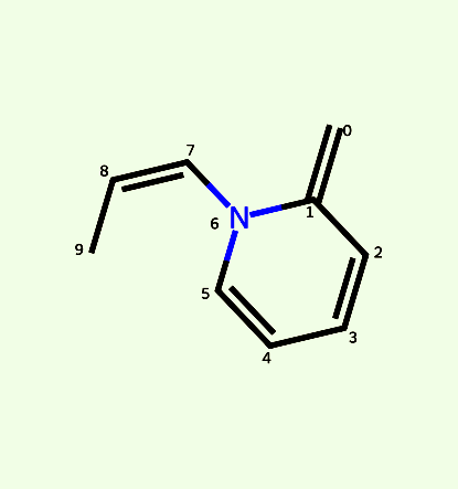 C=C1C=CC=CN1/C=C\C